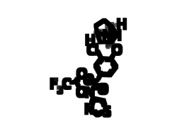 O=C(ON(c1cscn1)S(=O)(=O)c1ccc(O[C@@H]2C[C@H]3CC[C@@H](C2)N3)c(Cl)c1)C(F)(F)F